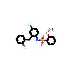 COc1ccccc1S(=O)(=O)Nc1ccc(Cl)cc1Cc1ccccc1Cl